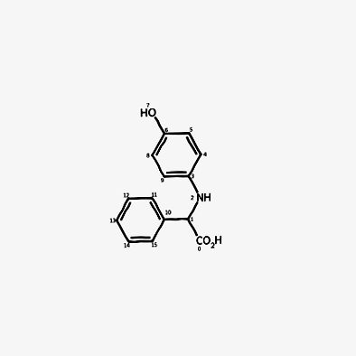 O=C(O)C(Nc1ccc(O)cc1)c1ccccc1